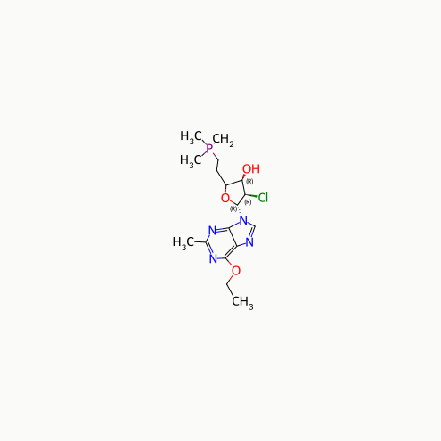 C=P(C)(C)CCC1O[C@@H](n2cnc3c(OCC)nc(C)nc32)[C@H](Cl)[C@@H]1O